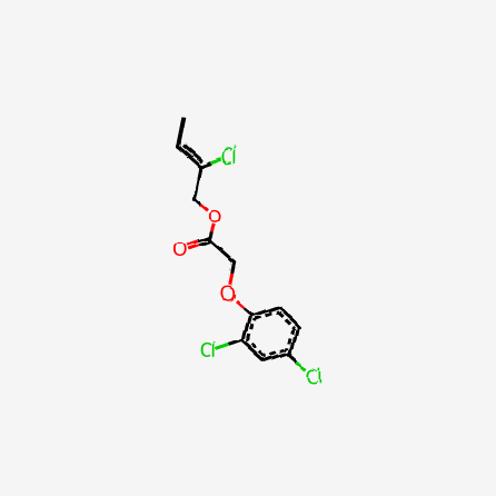 C/C=C(\Cl)COC(=O)COc1ccc(Cl)cc1Cl